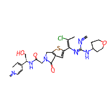 C=N/C=C\C(=C/C)[C@@H](CO)NC(=O)CN1Cc2sc(C(/N=C(\N=C)NC3CCOCC3)=C(/C)Cl)cc2C1=O